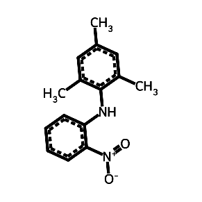 Cc1cc(C)c(Nc2ccccc2[N+](=O)[O-])c(C)c1